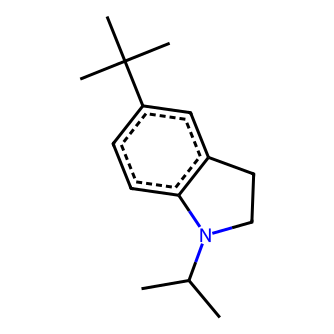 CC(C)N1CCc2cc(C(C)(C)C)ccc21